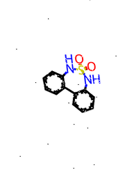 O=S1(=O)Nc2ccccc2-c2ccccc2N1